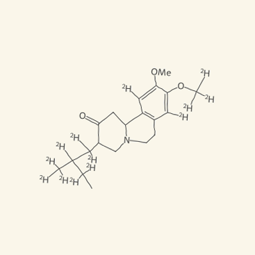 [2H]c1c2c(c([2H])c(OC)c1OC([2H])([2H])[2H])C1CC(=O)C(C([2H])([2H])C([2H])(C([2H])([2H])[2H])C([2H])([2H])C)CN1CC2